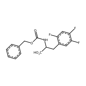 O=C(NC(Cc1cc(F)c(F)cc1F)C(=O)O)OCc1ccccc1